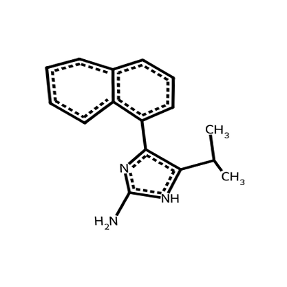 CC(C)c1[nH]c(N)nc1-c1cccc2ccccc12